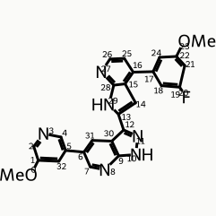 COc1cncc(-c2cnc3[nH]nc(-c4cc5c(-c6cc(F)cc(OC)c6)ccnc5[nH]4)c3c2)c1